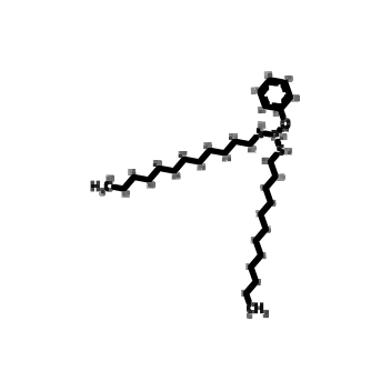 CCCCCCCCCCCCSP(Oc1ccccc1)SCCCCCCCCCCCC